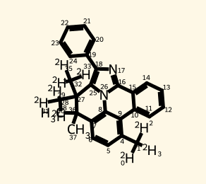 [2H]C([2H])([2H])c1ccc2c3c1c1ccccc1c1nc(-c4ccccc4)c(n13)C(C([2H])([2H])[2H])(C([2H])([2H])[2H])C2(C)C